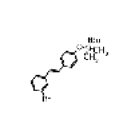 CC(C)(C)[Si](C)(C)Oc1ccc(C=Cc2cccc(Br)c2)cc1